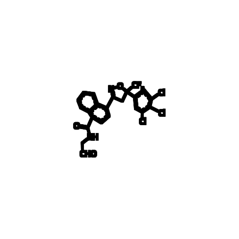 O=CCNC(=O)c1ccc(C2=NOC(c3cc(Cl)c(Cl)c(Cl)c3)(C(F)(F)F)C2)c2ccccc12